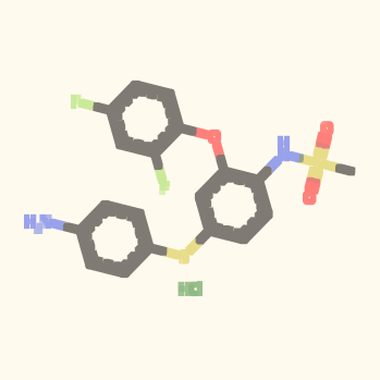 CS(=O)(=O)Nc1ccc(Sc2ccc(N)cc2)cc1Oc1ccc(F)cc1F.Cl